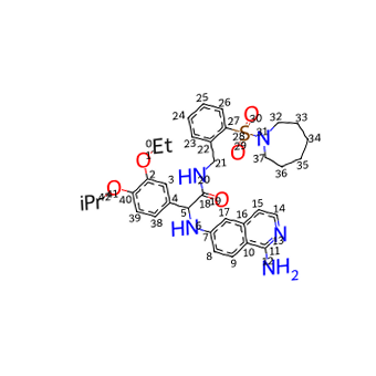 CCOc1cc(C(Nc2ccc3c(N)nccc3c2)C(=O)NCc2ccccc2S(=O)(=O)N2CCCCCC2)ccc1OC(C)C